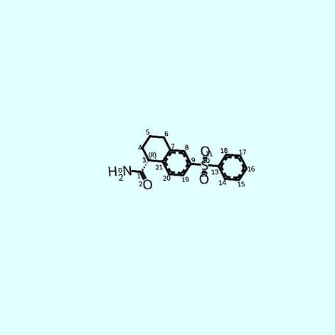 NC(=O)[C@@H]1CCCc2cc(S(=O)(=O)c3ccccc3)ccc21